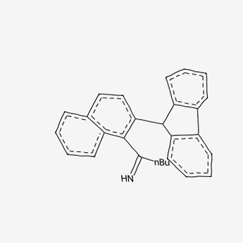 CCCCC(=N)c1c(C2c3ccccc3-c3ccccc32)ccc2ccccc12